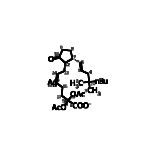 CCCCC(C)(C)C/C=C/[C@H]1CCC(=O)[C@@H]1C/C=C\CCC(OC(C)=O)(OC(C)=O)C(=O)[O-].[Ag+]